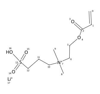 C=CC(=O)OCC[N+](C)(C)CCCS(=O)(=O)O.[Li+]